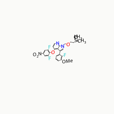 COc1cccc(-c2cn(COCC[SiH](C)C)c3nccc(Oc4c(F)cc([N+](=O)[O-])cc4F)c23)c1F